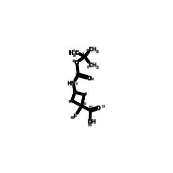 CC(C)(C)OC(=O)NC1CC(F)(C(=O)O)C1